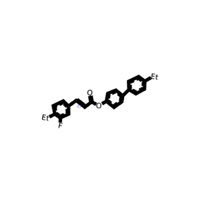 CCc1ccc(-c2ccc(OC(=O)/C=C/c3ccc(CC)c(F)c3)cc2)cc1